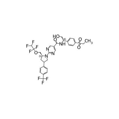 CCS(=O)(=O)c1ccc([C@H](CO)NC(=O)c2cnc(N3CC(c4ccc(C(F)(F)F)cc4)C[C@H]3COC(F)(F)C(F)F)nc2)cc1